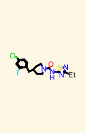 CCc1nsc(NC(=O)N2CCC(Cc3ccc(Cl)cc3F)CC2)n1